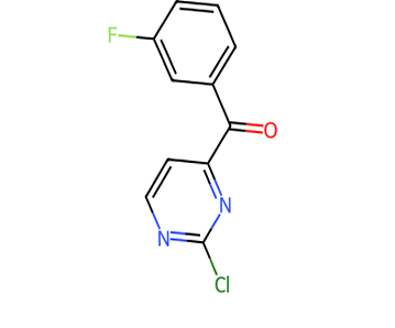 O=C(c1cccc(F)c1)c1ccnc(Cl)n1